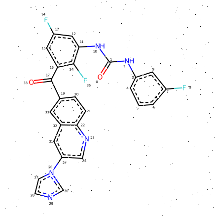 O=C(Nc1cccc(F)c1)Nc1cc(F)cc(C(=O)c2ccc3ncc(-n4ccnc4)cc3c2)c1F